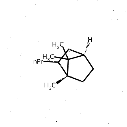 CCC[C]1C[C@H]2CC[C@@]1(C)C2(C)C